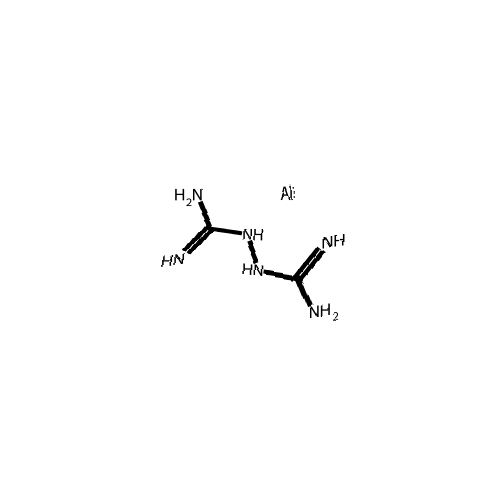 N=C(N)NNC(=N)N.[Al]